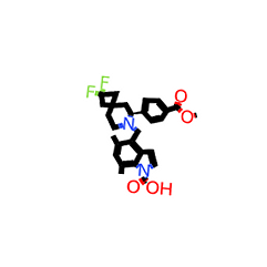 COC(=O)c1ccc([C@@H]2CC3(CCN2Cc2c(C)cc(C)c4c2ccn4C(=O)O)CC(F)(F)C3)cc1